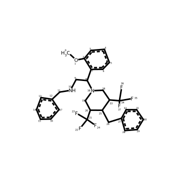 COc1ccccc1C(CNCc1ccccc1)N1CC(C(F)(F)F)C(Cc2ccccc2)C(C(F)(F)F)C1